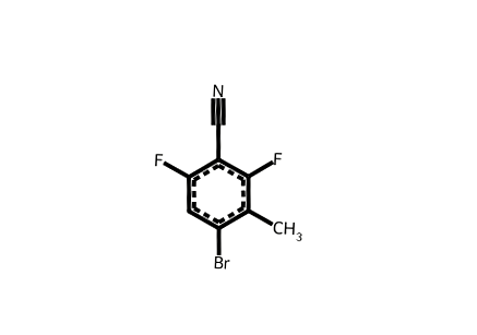 Cc1c(Br)cc(F)c(C#N)c1F